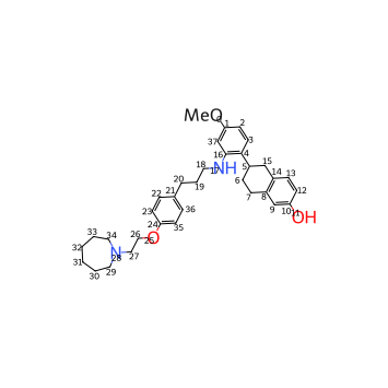 COc1ccc(C2CCc3cc(O)ccc3C2)c(NCCCc2ccc(OCCN3CCCCCC3)cc2)c1